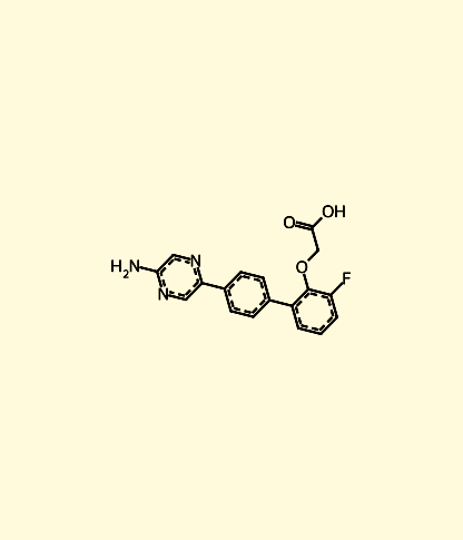 Nc1cnc(-c2ccc(-c3cccc(F)c3OCC(=O)O)cc2)cn1